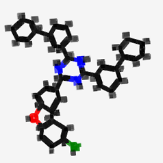 Brc1ccc2oc3ccc(-c4nc(-c5cccc(-c6ccccc6)c5)nc(-c5cccc(-c6ccccc6)c5)n4)cc3c2c1